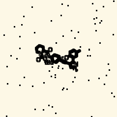 CC(=O)Oc1ccc(C)cc1-c1nn(C)cc1C#Cc1ccc(NC(=O)C2CCCCN2C(=O)OC(C)(C)C)cc1